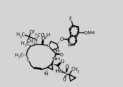 COc1cc(F)cc2c(O[C@@H]3C[C@H]4C(=O)N[C@]5(C(=O)NS(=O)(=O)C6(C)CC6)C[C@H]5C=CCC[C@H](C)C[C@@H](C)[C@H](N(C(=O)O)C(C)(C)C(F)(F)F)C(=O)N4C3)nccc12